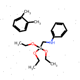 CCO[Si](CNc1ccccc1)(OCC)OCC.Cc1ccccc1C